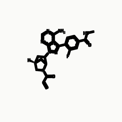 C=CC(=O)N1C[C@@H]2CC1C(n1nc(-c3ccc(C(=O)NC)cc3F)c3c(N)ncnc31)C2